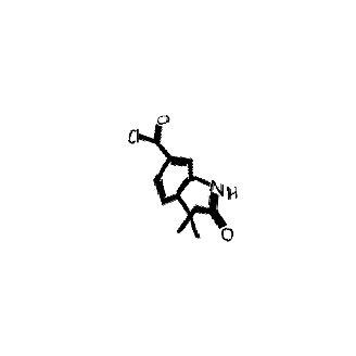 CC1(C)C(=O)Nc2cc(C(=O)Cl)ccc21